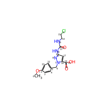 COc1ccc(Cn2nc(NC(=O)NCCCl)cc2C(=O)O)cc1